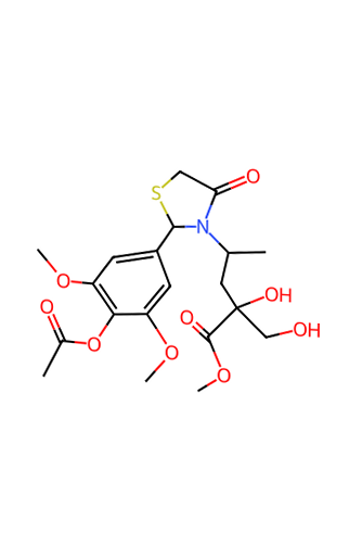 COC(=O)C(O)(CO)CC(C)N1C(=O)CSC1c1cc(OC)c(OC(C)=O)c(OC)c1